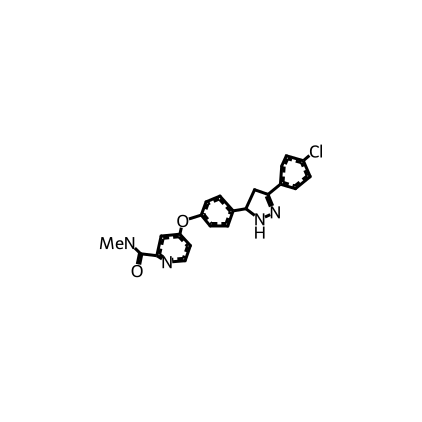 CNC(=O)c1cc(Oc2ccc(C3CC(c4ccc(Cl)cc4)=NN3)cc2)ccn1